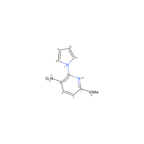 COc1ccc([N+](=O)[O-])c(-n2cccc2)n1